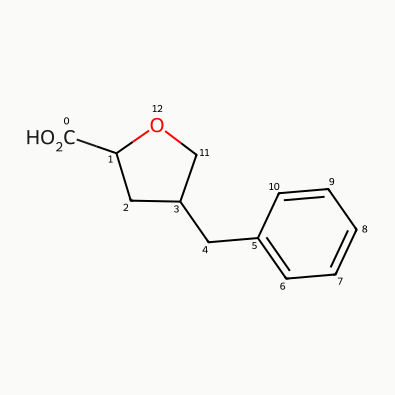 O=C(O)C1CC(Cc2ccccc2)CO1